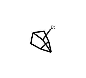 CCC1C2CC3C(C2)C13